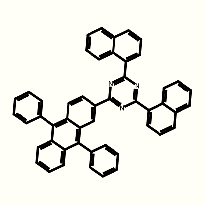 c1ccc(-c2c3ccccc3c(-c3ccccc3)c3cc(-c4nc(-c5cccc6ccccc56)nc(-c5cccc6ccccc56)n4)ccc23)cc1